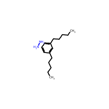 CCCCCc1cccc(CCCCC)c1.NN